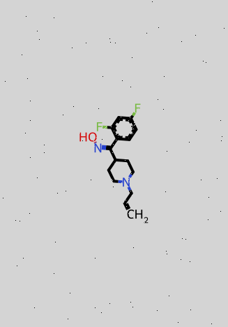 C=CCN1CCC(C(=NO)c2ccc(F)cc2F)CC1